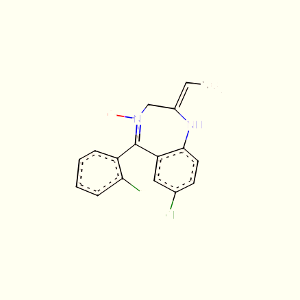 O=[N+]([O-])C=C1C[N+]([O-])=C(c2ccccc2F)c2cc(Cl)ccc2N1